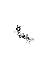 CC(C)(O)Cn1ncc(N2CC[C@@H](OC(=O)NC3CCC(F)(F)CC3)C2)c(Cl)c1=O